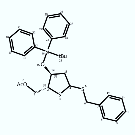 CC(=O)OC[C@H]1SC(SCc2ccccc2)C[C@@H]1O[Si](c1ccccc1)(c1ccccc1)C(C)(C)C